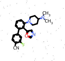 CN(C)C1CCN(c2cccc(-c3ccc(C#N)c(F)c3)c2-c2cnco2)CC1